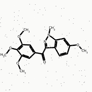 COc1ccc2c(C(=O)c3cc(OC)c(OC)c(OC)c3)nn(C)c2c1